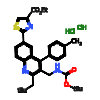 CCOC(=O)c1csc(-c2ccc3nc(CC(C)(C)C)c(CNC(=O)OC(C)(C)C)c(-c4ccc(C)cc4)c3c2)n1.Cl.Cl